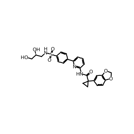 O=C(Nc1cccc(-c2ccc(S(=O)(=O)NC[C@H](O)CO)cc2)n1)C1(c2ccc3c(c2)OCO3)CC1